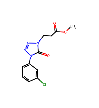 COC(=O)CCn1nnn(-c2cccc(Cl)c2)c1=O